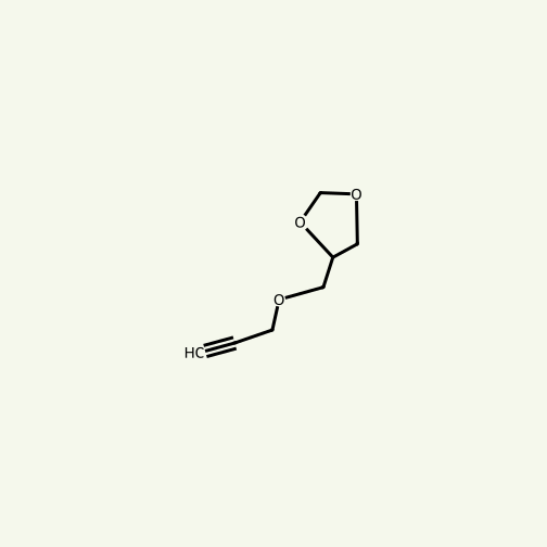 C#CCOCC1COCO1